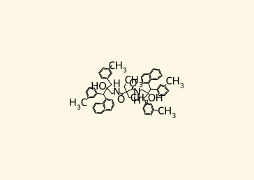 CCC(CC)(C(=O)NCC(O)(Cc1cccc(C)c1)C(c1cccc(C)c1)c1cccc2ccccc12)C(=O)NCC(O)(Cc1cccc(C)c1)C(c1cccc(C)c1)c1cccc2ccccc12